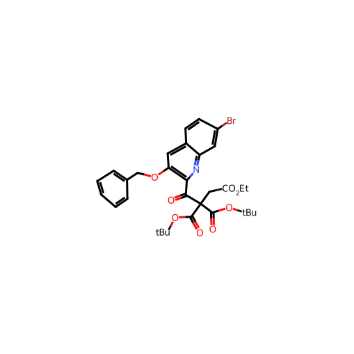 CCOC(=O)CC(C(=O)OC(C)(C)C)(C(=O)OC(C)(C)C)C(=O)c1nc2cc(Br)ccc2cc1OCc1ccccc1